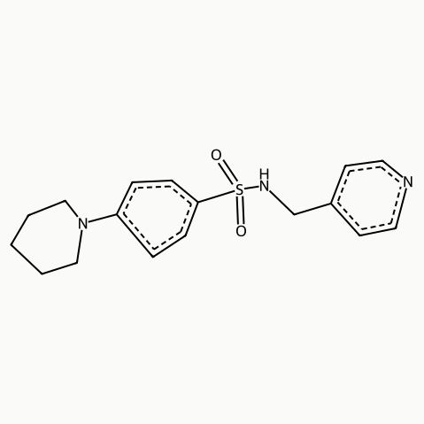 O=S(=O)(NCc1ccncc1)c1ccc(N2CCCCC2)cc1